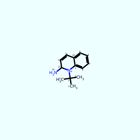 CC(C)(C)N1c2ccccc2C=CC1N